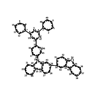 c1ccc(-c2nc(-c3ccccc3)nc(-c3ccc(-n4c5ccccc5c5ccc(-c6ccc7oc8ccccc8c7c6)cc54)cn3)n2)cc1